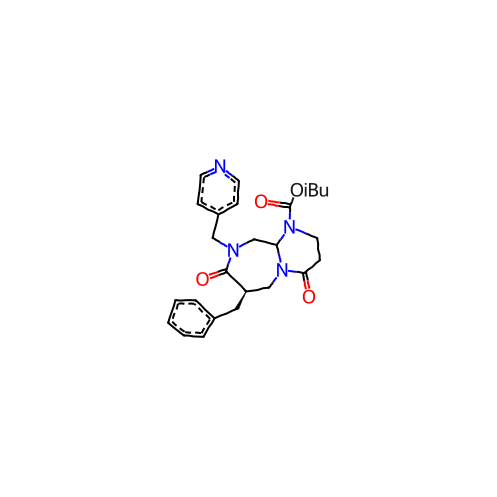 CC(C)COC(=O)N1CCC(=O)N2C[C@@H](Cc3ccccc3)C(=O)N(Cc3ccncc3)CC21